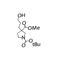 COC(=O)C1(CCCO)CCN(C(=O)OC(C)(C)C)C1